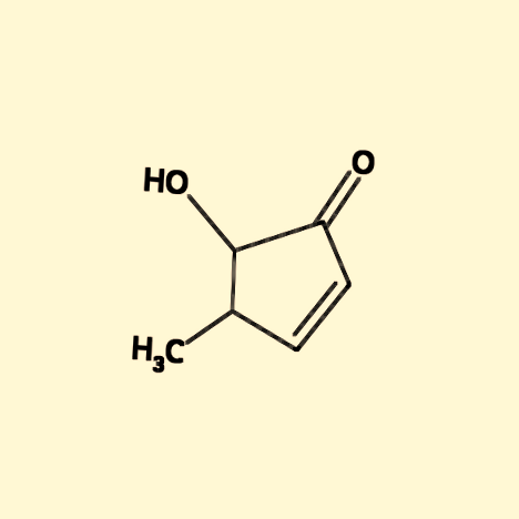 CC1C=CC(=O)C1O